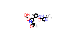 Cc1ccc(NC(=O)c2ccnc(C(F)(F)F)c2)cc1-c1cc(OCCO)nc([C@@]23COC[C@@H]2C3)c1